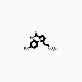 CCOC(=O)CCc1ccc2c(=O)[nH]c3cc(C(F)(F)F)ccc3n12